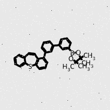 CC1(C)OB(c2cccc(-c3cccc(-c4cccc5c4C=Cc4ccccc4S5)c3)c2)OC1(C)C